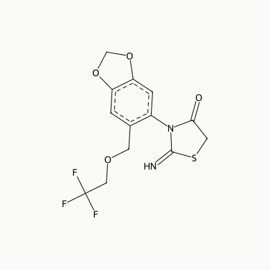 N=C1SCC(=O)N1c1cc2c(cc1COCC(F)(F)F)OCO2